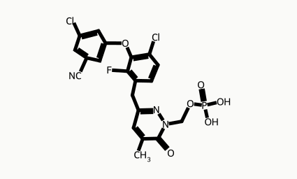 Cc1cc(Cc2ccc(Cl)c(Oc3cc(Cl)cc(C#N)c3)c2F)nn(COP(=O)(O)O)c1=O